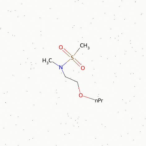 CCCOCCN(C)S(C)(=O)=O